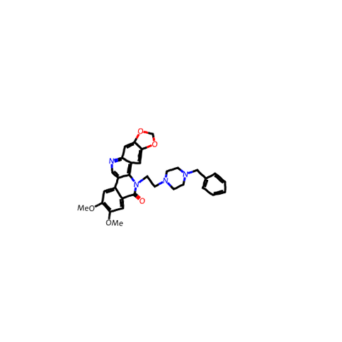 COc1cc2c(=O)n(CCN3CCN(Cc4ccccc4)CC3)c3c4cc5c(cc4ncc3c2cc1OC)OCO5